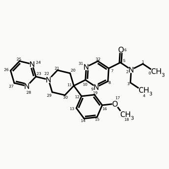 CCN(CC)C(=O)c1cnc(C2(c3cccc(OC)c3)CCN(c3ncccn3)CC2)nc1